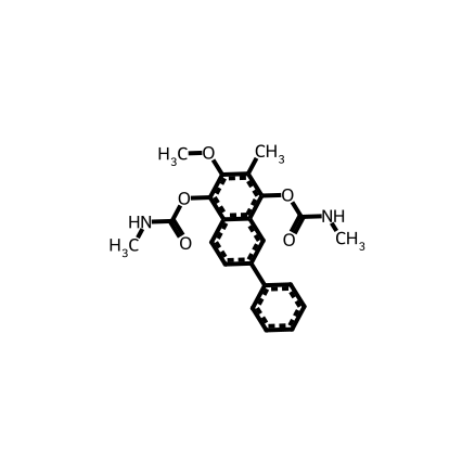 CNC(=O)Oc1c(C)c(OC)c(OC(=O)NC)c2ccc(-c3ccccc3)cc12